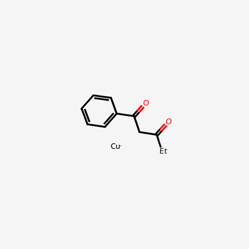 CCC(=O)CC(=O)c1ccccc1.[Cu]